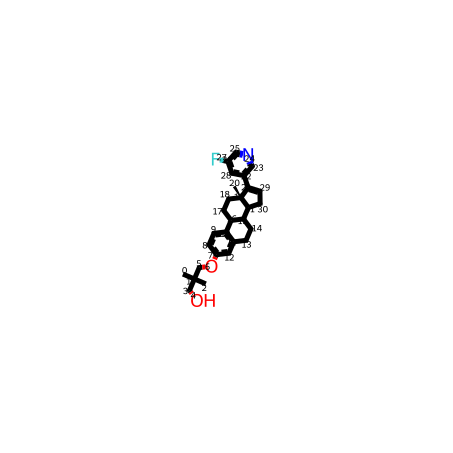 CC(C)(CO)COc1ccc2c(c1)CCC1C2CC[C@]2(C)C(c3cncc(F)c3)=CCC12